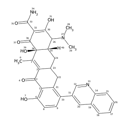 CC1=C2C(=O)c3c(O)ccc(-c4cnc5ccccc5c4)c3CC2C[C@H]2C(N(C)C)C(O)=C(C(N)=O)C(=O)[C@@]12O